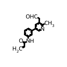 C=CC(=O)Nc1cccc(-c2cnc(C)c(CC=O)c2)c1